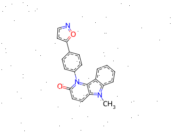 Cn1c2ccccc2c2c1ccc(=O)n2-c1ccc(-c2ccno2)cc1